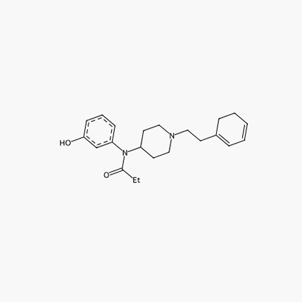 CCC(=O)N(c1cccc(O)c1)C1CCN(CCC2=CC=CCC2)CC1